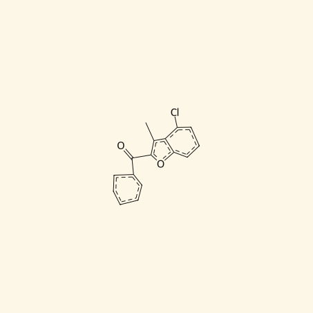 Cc1c(C(=O)c2ccccc2)oc2cccc(Cl)c12